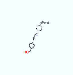 CCCCC[C@H]1CC[C@H](/C=C/C#Cc2ccc(CO)cc2)CC1